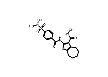 O=C(Nc1sc2c(c1C(=O)NO)CCCCC2)c1ccc(S(=O)(=O)N(O)O)cc1